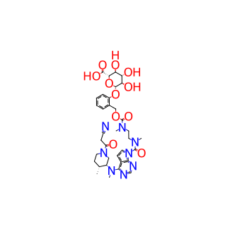 C[C@@H]1CCN(C(=O)CC#N)C[C@@H]1N(C)c1ncnc2c1ccn2C(=O)N(C)CCN(C)C(=O)OCc1ccccc1O[C@@H]1O[C@H](C(=O)O)[C@@H](O)[C@H](O)[C@H]1O